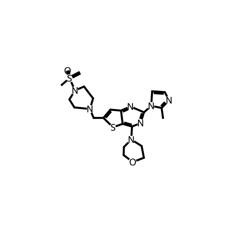 C=S(C)(=O)N1CCN(Cc2cc3nc(-n4ccnc4C)nc(N4CCOCC4)c3s2)CC1